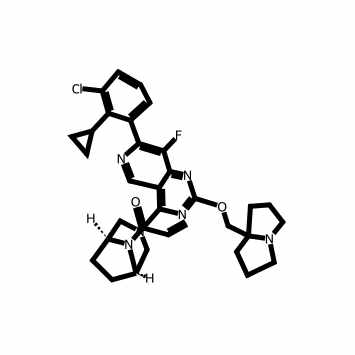 C=CC(=O)N1[C@@H]2CC[C@H]1CN(c1nc(OCC34CCCN3CCC4)nc3c(F)c(-c4cccc(Cl)c4C4CC4)ncc13)C2